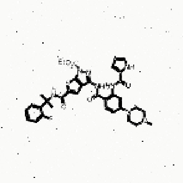 CCOC(=O)n1nc(NC(=O)c2ccc(N3CCN(C)CC3)cc2NC(=O)c2ccc[nH]2)c2cc(C(=O)NC(C)(C)c3ccccc3F)sc21